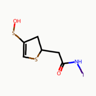 O=C(CC1CC(SO)=CS1)NI